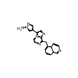 Nn1cc(-c2cnc3c(CC4=CC=CC5C=NC=CC45)nccn23)cn1